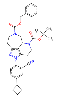 CC(C)(C)OC(=O)N1CCc2c3c(nn2-c2ccc(C4CCC4)cc2C#N)CCN(C(=O)OCc2ccccc2)CC31